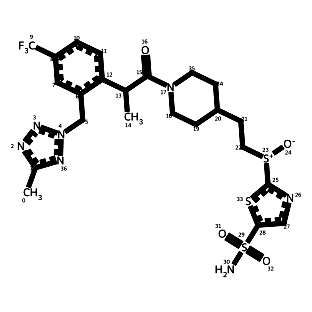 Cc1nnn(Cc2cc(C(F)(F)F)ccc2C(C)C(=O)N2CCC(CC[S+]([O-])c3ncc(S(N)(=O)=O)s3)CC2)n1